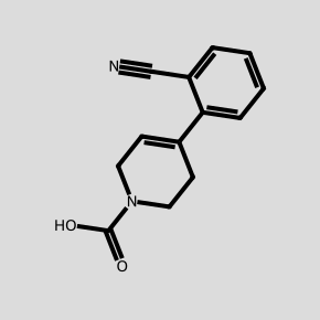 N#Cc1ccccc1C1=CCN(C(=O)O)CC1